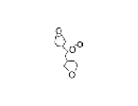 O=COC(CC1CCC2OC2C1)C1CCC2OC2C1